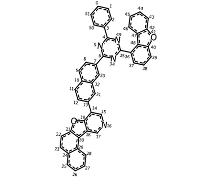 c1ccc(-c2nc(-c3ccc4ccc(-c5cncc6c5oc5ccc7ccccc7c56)cc4c3)nc(-c3cccc4oc5ccccc5c34)n2)cc1